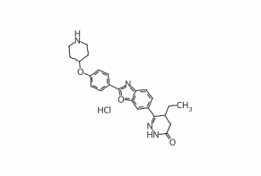 CCC1CC(=O)NN=C1c1ccc2nc(-c3ccc(OC4CCNCC4)cc3)oc2c1.Cl